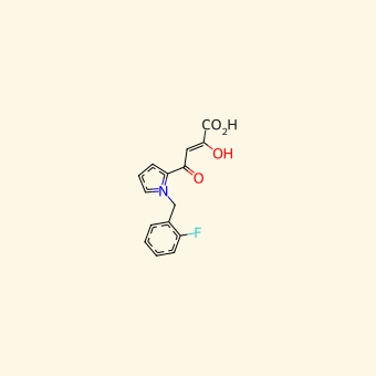 O=C(O)C(O)=CC(=O)c1cccn1Cc1ccccc1F